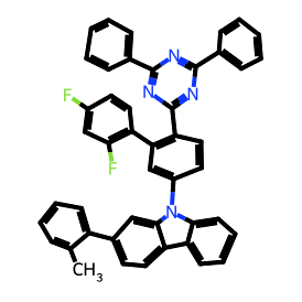 Cc1ccccc1-c1ccc2c3ccccc3n(-c3ccc(-c4nc(-c5ccccc5)nc(-c5ccccc5)n4)c(-c4ccc(F)cc4F)c3)c2c1